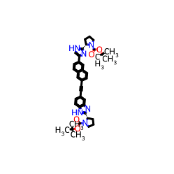 CC(C)(C)OC(=O)N1CCC[C@H]1c1nc(-c2ccc3cc(C#Cc4ccc5[nH]c([C@@H]6CCCN6C(=O)OC(C)(C)C)nc5c4)ccc3c2)c[nH]1